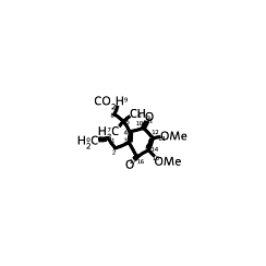 C=CCC1=C(C(C)(C)CC(=O)O)C(=O)C(OC)=C(OC)C1=O